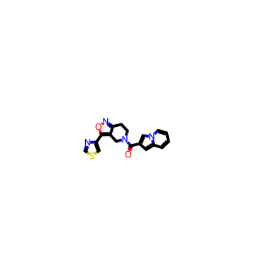 O=C(c1cc2ccccn2c1)N1CCc2noc(-c3cscn3)c2C1